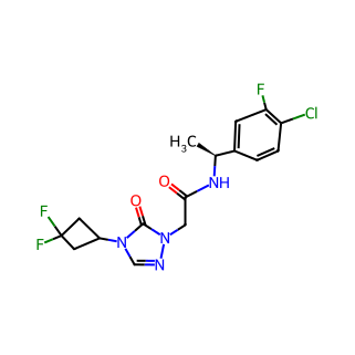 C[C@H](NC(=O)Cn1ncn(C2CC(F)(F)C2)c1=O)c1ccc(Cl)c(F)c1